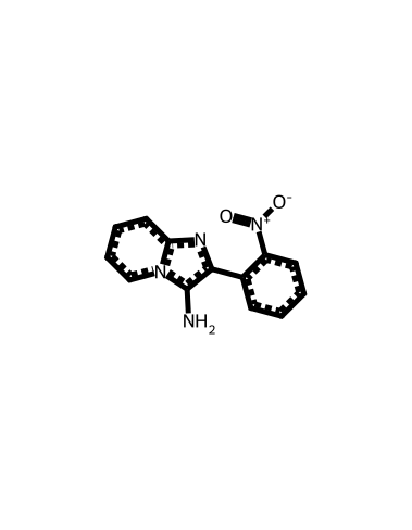 Nc1c(-c2ccccc2[N+](=O)[O-])nc2ccccn12